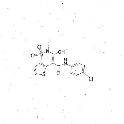 CN1C(O)=C(C(=O)Nc2ccc(Cl)cc2)c2sccc2S1(=O)=O